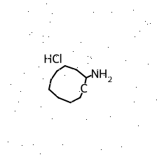 Cl.NC1CCCCCCCCC1